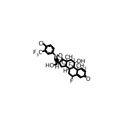 C[C@]12C[C@H](O)[C@@]3(F)[C@@H](C[C@H](F)C4=CC(=O)C=C[C@@]43C)[C@]1(C)C[C@H]1CN(c3ccc(Cl)c(C(F)(F)F)c3)O[C@]12C(=O)CO